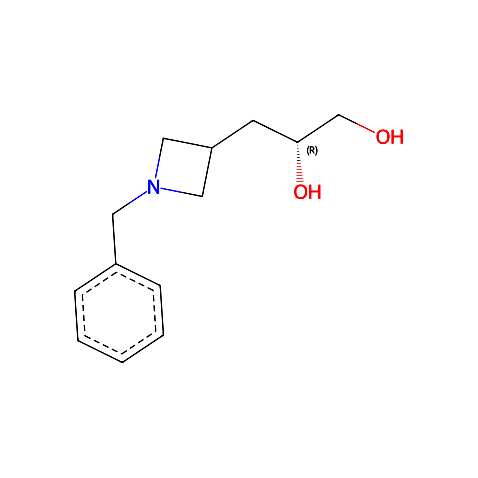 OC[C@H](O)CC1CN(Cc2ccccc2)C1